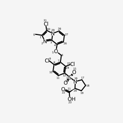 Cc1nc2c(OCc3c(Cl)ccc(S(=O)(=O)N4CCC[C@H]4C(=O)O)c3Cl)cccn2c1Cl